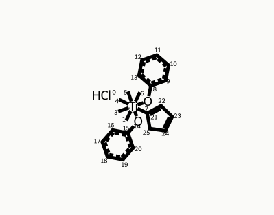 Cl.[CH3][Ti]([CH3])([CH3])([CH3])([CH3])([O]c1ccccc1)([O]c1ccccc1)[C]1=CC=CC1